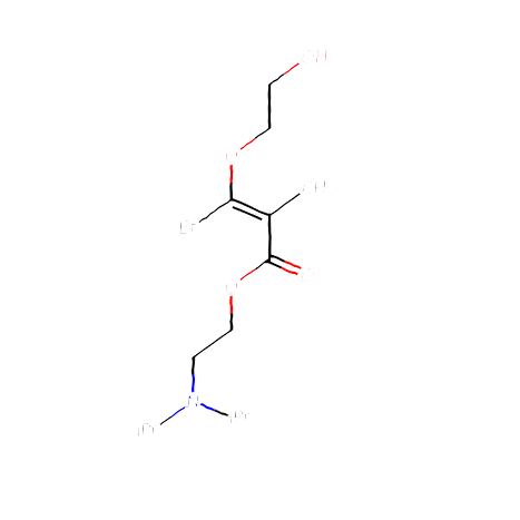 CCC(OCCO)=C(C)C(=O)OCCN(C(C)C)C(C)C